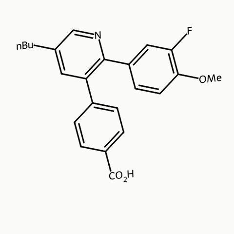 CCCCc1cnc(-c2ccc(OC)c(F)c2)c(-c2ccc(C(=O)O)cc2)c1